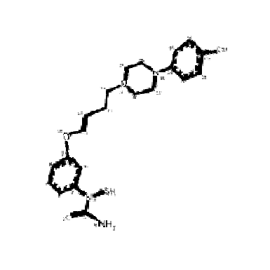 NC(=O)N(S)c1cccc(OCCCCN2CCN(c3ccc(F)cc3)CC2)c1